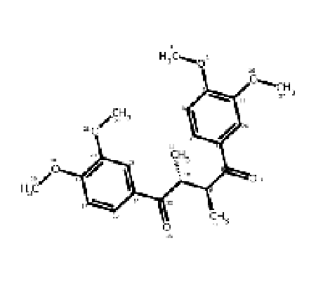 COc1ccc(C(=O)[C@@H](C)[C@@H](C)C(=O)c2ccc(OC)c(OC)c2)cc1OC